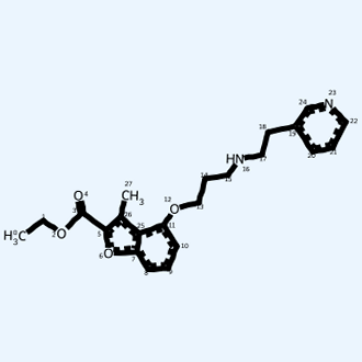 CCOC(=O)c1oc2cccc(OCCCNCCc3cccnc3)c2c1C